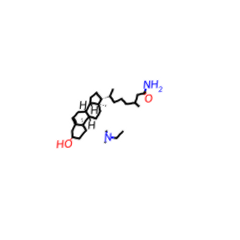 CC(CCCC(C)[C@H]1CC[C@H]2[C@@H]3CC=C4C[C@@H](O)CC[C@]4(C)[C@H]3CC[C@]12C)CC(N)=O.CCN(C)C